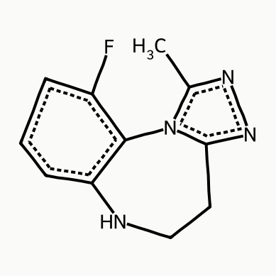 Cc1nnc2n1-c1c(F)cccc1NCC2